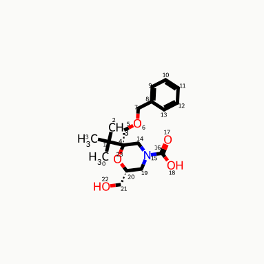 CC(C)(C)[C@@]1(COCc2ccccc2)CN(C(=O)O)C[C@H](CO)O1